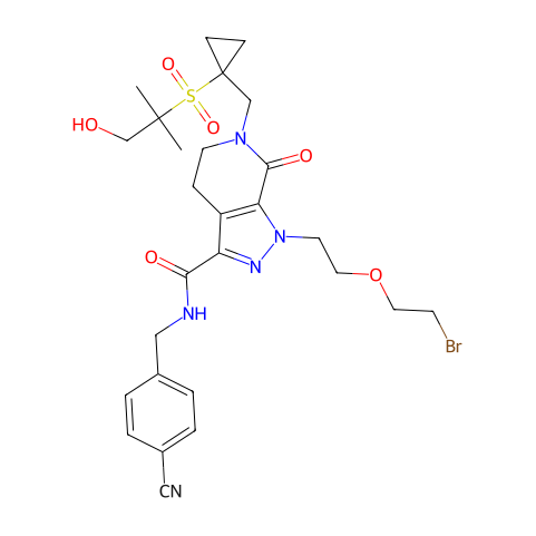 CC(C)(CO)S(=O)(=O)C1(CN2CCc3c(C(=O)NCc4ccc(C#N)cc4)nn(CCOCCBr)c3C2=O)CC1